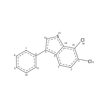 Clc1ccc2c(-c3ccccc3)csc2c1Cl